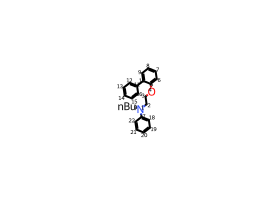 CCCCN(CCOc1ccccc1-c1ccccc1)c1ccccc1